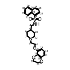 O=S(=O)(NCC1CCN(CCOc2cccc3c2OCCO3)CC1)c1cccc2ccccc12